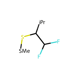 CSSC(C(C)C)C(F)F